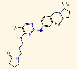 CC1CCC(C)N1Cc1ccc(Nc2ncc(C(F)(F)F)c(NCCCN3CCCC3=O)n2)cc1